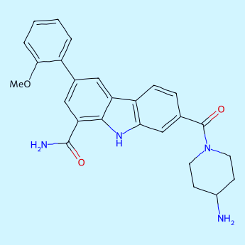 COc1ccccc1-c1cc(C(N)=O)c2[nH]c3cc(C(=O)N4CCC(N)CC4)ccc3c2c1